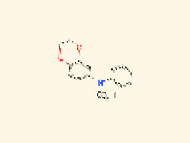 O=C(O)N(c1ccccc1)c1ccc2c(c1)OCCO2